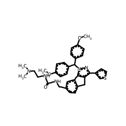 COc1ccc(C(c2ccc(OC)cc2)n2nc(-c3ccsc3)c3c2-c2cc(CNC(=O)NCCN(C)C)ccc2C3)cc1